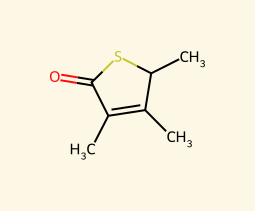 CC1=C(C)C(C)SC1=O